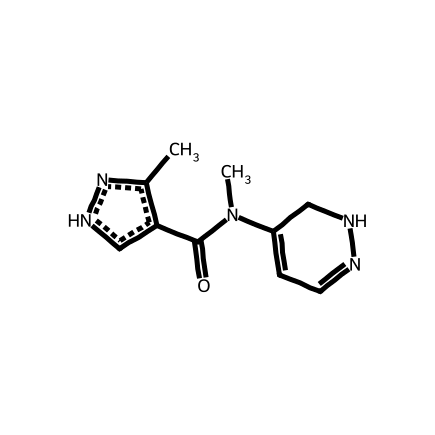 Cc1n[nH]cc1C(=O)N(C)C1=CC=NNC1